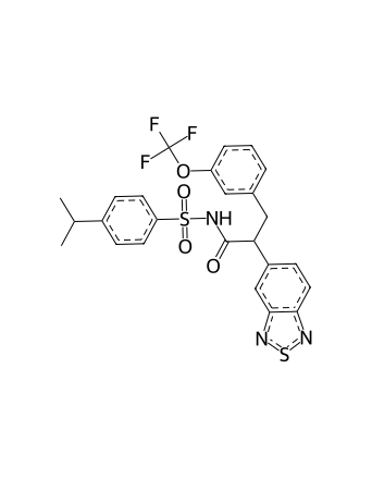 CC(C)c1ccc(S(=O)(=O)NC(=O)C(Cc2cccc(OC(F)(F)F)c2)c2ccc3nsnc3c2)cc1